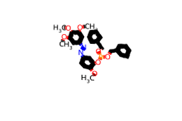 COc1ccc(N=Nc2cc(OC)c(OC)c(OC)c2)cc1OP(OCc1ccccc1)OCc1ccccc1